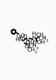 CC(C)OC(=O)C[C@H](NC(=O)OCc1ccccc1)C(=O)NCC(=O)N[C@H](C(=O)O)C(C)C